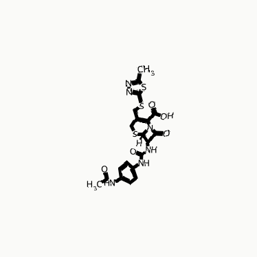 CC(=O)Nc1ccc(NC(=O)NC2C(=O)N3C(C(=O)O)=C(CSc4nnc(C)s4)CS[C@@H]23)cc1